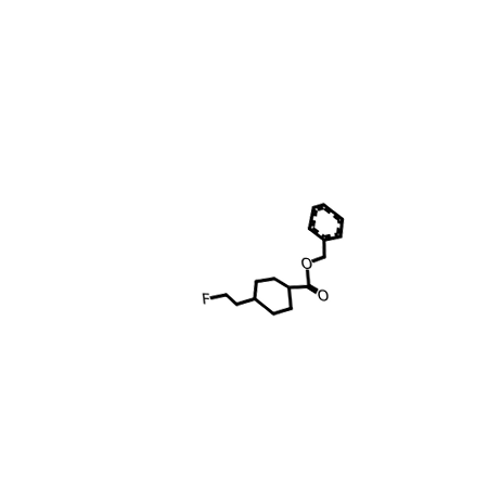 O=C(OCc1ccccc1)C1CCC(CCF)CC1